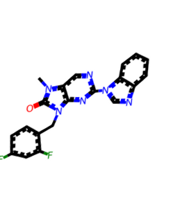 Cn1c(=O)n(Cc2ccc(F)cc2F)c2nc(-n3cnc4ccccc43)ncc21